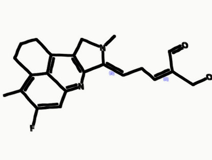 COC/C(C=O)=C/C/C=C1/c2nc3cc(F)c(C)c4c3c(c2CN1C)CCC4